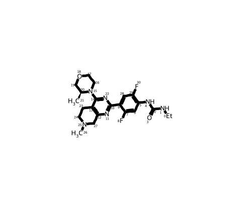 CCNC(=O)Nc1cc(F)c(-c2nc3c(c(N4CCOC[C@@H]4C)n2)CCN(C)C3)cc1F